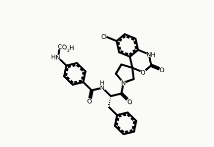 O=C(O)Nc1ccc(C(=O)N[C@@H](Cc2ccccc2)C(=O)N2CCC3(C2)OC(=O)Nc2ccc(Cl)cc23)cc1